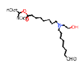 CCCCCCCCC(CCCCCCCC)OC(=O)CCCCCCCN(CCO)CCCCCCCC=O